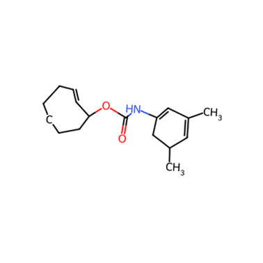 CC1=CC(C)CC(NC(=O)OC2/C=C/CCCCC2)=C1